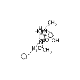 C=CCN1CC[C@]23c4c5ccc(O)c4O[C@H]2[C@@H](N(CCCCCCc2ccccc2)CC(C)C)CC[C@@]3(O)[C@H]1C5